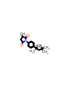 CC1CC(=O)N(c2ccc(C(C)(C)CC(C)(C)C)cc2)C1=O